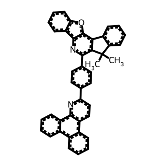 CC1(C)c2ccccc2-c2c1c(-c1ccc(-c3ccc4c5ccccc5c5ccccc5c4n3)cc1)nc1c2oc2ccccc21